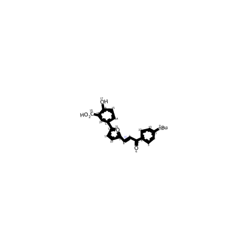 CCCCc1ccc(C(=O)/C=C/c2ccc(-c3ccc(O)c(C(=O)O)c3)o2)cc1